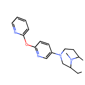 CN1C2CCCC1CN(c1ccc(Oc3ccccn3)nc1)CC2